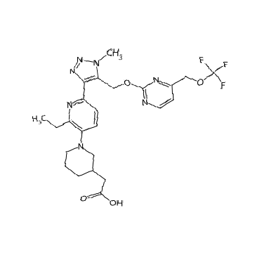 CCc1nc(-c2nnn(C)c2COc2nccc(COC(F)(F)F)n2)ccc1N1CCCC(CC(=O)O)C1